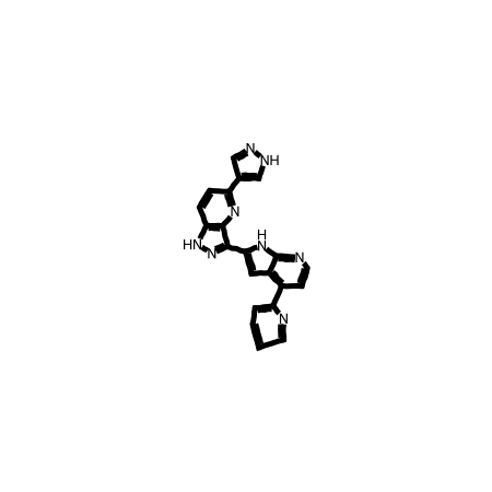 c1ccc(-c2ccnc3[nH]c(-c4n[nH]c5ccc(-c6cn[nH]c6)nc45)cc23)nc1